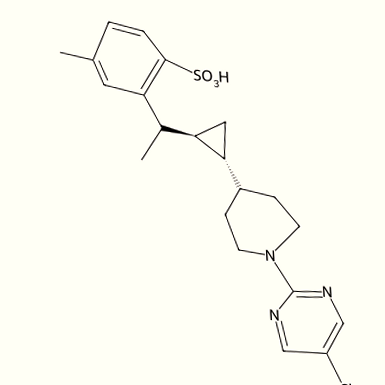 Cc1ccc(S(=O)(=O)O)c(C(C)[C@H]2C[C@@H]2C2CCN(c3ncc(Cl)cn3)CC2)c1